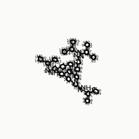 NC1(c2ccc(-c3ccc(-c4ccccc4-c4cc(-c5ccccc5-c5ccc(-c6ccc(C7=NC(c8cc(-c9ccccc9)cc(-c9ccccc9)c8)N7)cn6)cc5)cc(-c5ccccc5-c5ccc(-c6ccc(-c7nc(-c8cc(-c9ccccc9)cc(-c9ccccc9)c8)nc(-c8cc(-c9ccccc9)cc(-c9ccccc9)c8)n7)cn6)cc5)c4)cc3)nc2)N=C1c1cc(-c2ccccc2)cc(-c2ccccc2)c1